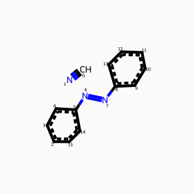 C#N.c1ccc(N=Nc2ccccc2)cc1